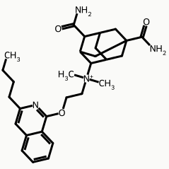 CCCCc1cc2ccccc2c(OCC[N+](C)(C)C2C3CC4CC(C(N)=O)(C3)CC2C4C(N)=O)n1